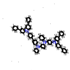 c1ccc(-c2ccc3c(c2)c2cc(-c4ccccc4)ccc2n3-c2ccc(-c3ccc(N(c4ccccc4)c4cccc(N(c5ccccc5)c5ccc(-n6c7ccc(-c8ccccc8)cc7c7cc(-c8ccccc8)ccc76)cc5)c4)cc3)cc2)cc1